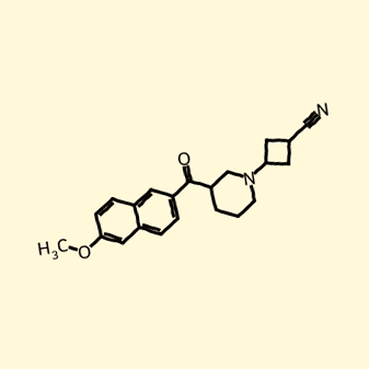 COc1ccc2cc(C(=O)C3CCCN(C4CC(C#N)C4)C3)ccc2c1